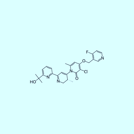 Cc1cc(OCc2cnccc2F)c(Cl)c(=O)n1C1=CC(c2cccc(C(C)(C)O)n2)=NC[C@H]1C